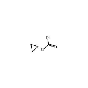 CCC(=O)CC.[CH]1CC1